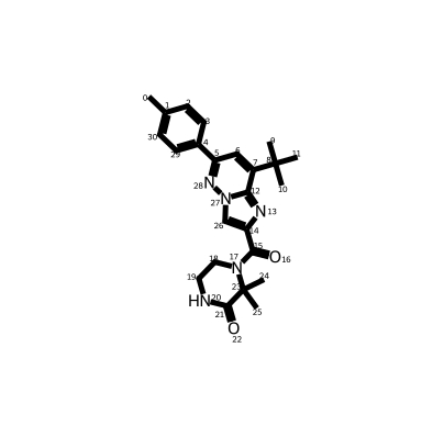 Cc1ccc(-c2cc(C(C)(C)C)c3nc(C(=O)N4CCNC(=O)C4(C)C)cn3n2)cc1